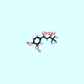 COc1ccc(C(O)CC(O)C(C)(C)C)cc1OC